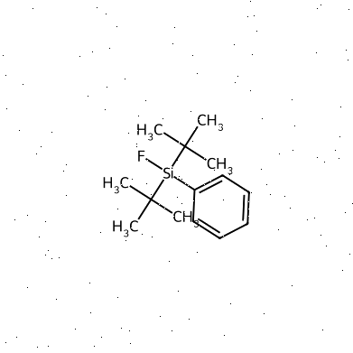 CC(C)(C)[Si](F)(c1ccccc1)C(C)(C)C